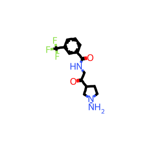 NN1CCC(C(=O)CNC(=O)c2cccc(C(F)(F)F)c2)C1